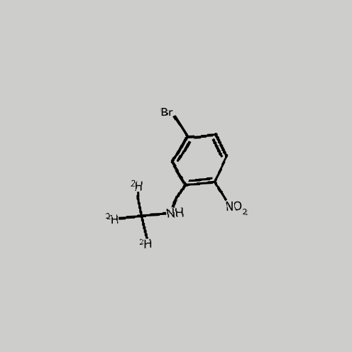 [2H]C([2H])([2H])Nc1cc(Br)ccc1[N+](=O)[O-]